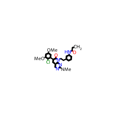 C=CC(=O)Nc1cccc(CCn2c(=O)c(-c3cc(OC)cc(OC)c3Cl)cc3cnc(NC)nc32)c1